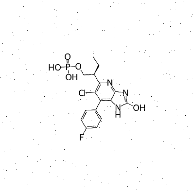 CC[C@H](COP(=O)(O)O)c1nc2nc(O)[nH]c2c(-c2ccc(F)cc2)c1Cl